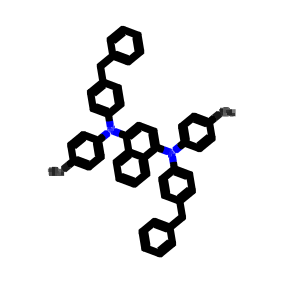 CC(C)(C)c1ccc(N(c2ccc(Cc3ccccc3)cc2)c2ccc(N(c3ccc(Cc4ccccc4)cc3)c3ccc(C(C)(C)C)cc3)c3ccccc23)cc1